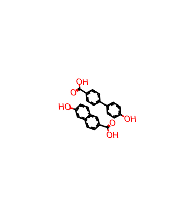 O=C(O)c1ccc(-c2ccc(O)cc2)cc1.O=C(O)c1ccc2cc(O)ccc2c1